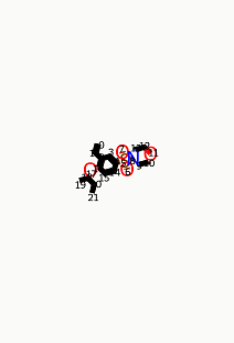 C=Cc1cc(S(=O)(=O)N2CCOCC2)ccc1OC(C)CC